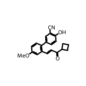 COc1ccc(-c2ccc(O)c(C#N)c2)c(/C=C/C(=O)C2CCC2)c1